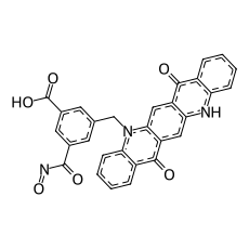 O=NC(=O)c1cc(Cn2c3ccccc3c(=O)c3cc4[nH]c5ccccc5c(=O)c4cc32)cc(C(=O)O)c1